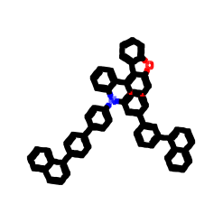 c1cc(-c2cccc(N(c3ccc(-c4ccc(-c5cccc6ccccc56)cc4)cc3)c3ccccc3-c3cccc4oc5ccccc5c34)c2)cc(-c2cccc3ccccc23)c1